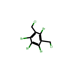 ClCc1c(Br)c(Br)c(Br)c(CCl)c1Br